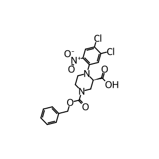 O=C(O)[C@H]1CN(C(=O)OCc2ccccc2)CCN1c1cc(Cl)c(Cl)cc1[N+](=O)[O-]